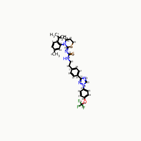 Cc1ccc(C(C)C)c(N2/C(=N/C(=S)NCCc3ccc(-c4ncn(-c5ccc(OC(F)(F)F)cc5)n4)cc3)SCCC2C)c1